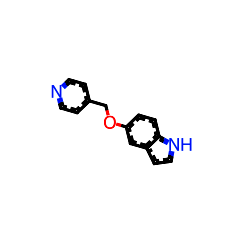 c1cc(COc2ccc3[nH]ccc3c2)ccn1